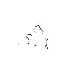 C[C@]1(COC(=O)C2CC2)O[C@@H](c2ccc3c(N)ncnn23)[C@H](O)[C@@H]1O